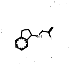 C=C(I)CNC1CCc2ccccc21